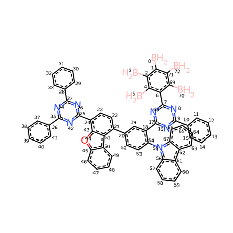 Bc1c(B)c(B)c(-c2nc(-c3ccccc3)nc(-c3cc(-c4ccc(-c5nc(-c6ccccc6)nc(-c6ccccc6)n5)c5oc6ccccc6c45)ccc3-n3c4ccccc4c4ccccc43)n2)c(B)c1B